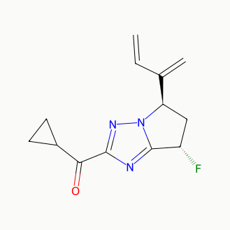 C=CC(=C)[C@H]1C[C@H](F)c2nc(C(=O)C3CC3)nn21